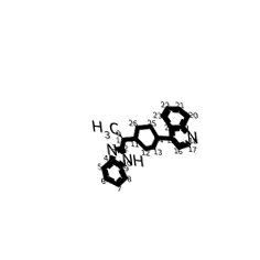 C[C@@H](c1nc2ccccc2[nH]1)C1CCC(c2ccnc3ccccc23)CC1